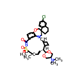 C[C@@H]1[C@@H](C)C/C=C/[C@@H]([C@H]2OC[C@H](N(C)C)CO2)[C@@H]2CC[C@H]2CN2C[C@@]3(CCCc4cc(Cl)ccc43)COc3ccc(cc32)C(=O)NS1(=O)=O